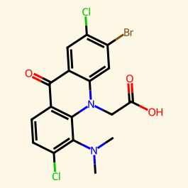 CN(C)c1c(Cl)ccc2c(=O)c3cc(Cl)c(Br)cc3n(CC(=O)O)c12